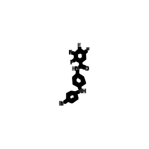 O=C(Nc1ccc(Nc2ccc(Br)cc2)cc1)c1cc(F)c(F)c(F)c1F